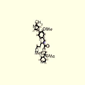 COc1cc(/C=C(\CCCCl)C(=O)OCC(OC)(OC)c2ccncc2)ccc1-n1cnc(C)c1